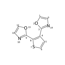 c1coc(-c2ccsc2-c2ncco2)n1